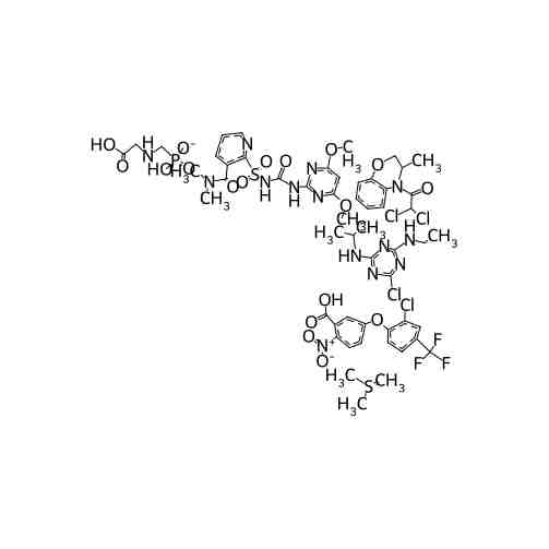 CC1COc2ccccc2N1C(=O)C(Cl)Cl.CCNc1nc(Cl)nc(NC(C)C)n1.COc1cc(OC)nc(NC(=O)NS(=O)(=O)c2ncccc2C(=O)N(C)C)n1.C[S+](C)C.O=C(O)CNCP(=O)([O-])O.O=C(O)c1cc(Oc2ccc(C(F)(F)F)cc2Cl)ccc1[N+](=O)[O-]